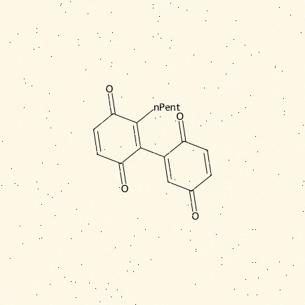 CCCCCC1=C(C2=CC(=O)C=CC2=O)C(=O)C=CC1=O